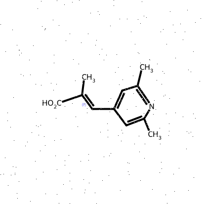 C/C(=C\c1cc(C)nc(C)c1)C(=O)O